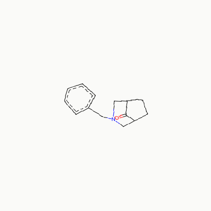 O=C1C2CCC1CN(Cc1ccccc1)C2